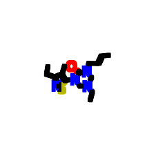 CC=CCN1CN(CC)CN(c2snc(CC)c2C)C1=O